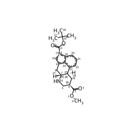 COC(=O)[C@H]1CN[C@@H]2Cc3cn(C(=O)OC(C)(C)C)c4cccc(c34)[C@H]2C1